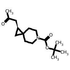 CC(=O)C[C@@H]1CC12CCN(C(=O)OC(C)(C)C)CC2